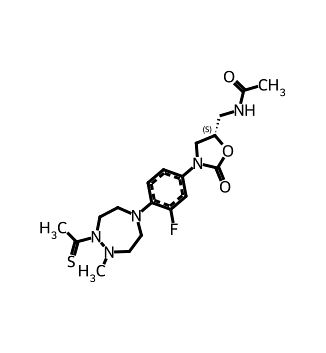 CC(=O)NC[C@H]1CN(c2ccc(N3CCN(C)N(C(C)=S)CC3)c(F)c2)C(=O)O1